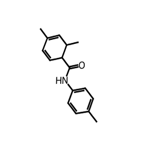 CC1=CC(C)C(C(=O)Nc2ccc(C)cc2)C=C1